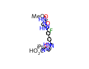 COC(=O)N[C@@H](C)C(=O)N1CCC[C@H]1c1ncc(-c2ccc(-c3ccc(-c4cnc([C@@H]5CCCN5C(=O)[C@H](C(C)C)N(C)C(=O)O)[nH]4)cc3)cc2F)[nH]1